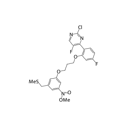 CO[N+](=O)c1cc(CSC)cc(OCCCOc2cc(F)ccc2-c2nc(Cl)ncc2F)c1